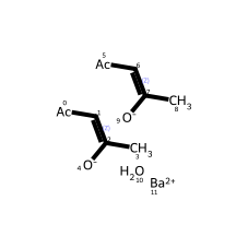 CC(=O)/C=C(/C)[O-].CC(=O)/C=C(/C)[O-].O.[Ba+2]